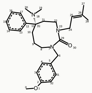 COc1ccc(CN2CCC[C@](c3ccccc3)(N(C)C)CCN(CC=C(C)C)C2=O)cc1